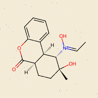 C/C=[N+](\O)[C@H]1[C@@H]2c3ccccc3OC(=O)[C@@H]2CC[C@@]1(C)O